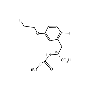 CC(C)(C)OC(=O)N[C@H](Cc1cc(OCCF)ccc1I)C(=O)O